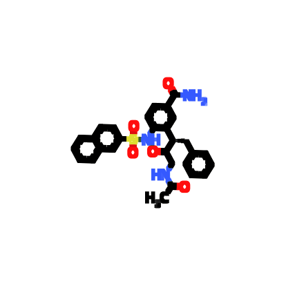 CC(=O)NCC(=O)[C@@H](Cc1ccccc1)c1cc(C(N)=O)ccc1NS(=O)(=O)c1ccc2ccccc2c1